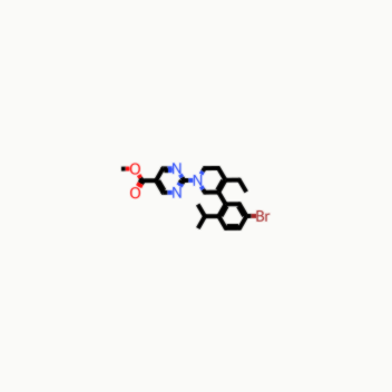 CCC1=C(c2cc(Br)ccc2C(C)C)CN(c2ncc(C(=O)OC)cn2)CC1